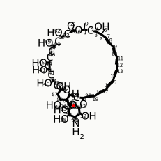 C[C@H]1CC(O)[C@@H](C)/C=C/C=C/C=C/C=C/C=C/C=C/C=C/C(OC2O[C@H](C)C(O)[C@H](N)C2O)C[C@@H]2OC(O)(CC(O)CC(O)C(O)CCC(O)CC(O)CC(=O)O1)C[C@H](O)C2C(=O)O